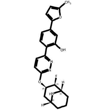 Cc1ccc(-c2ccc(-c3ccc(O[C@@H]4C[C@H]5CCC[C@H](N5)[C@@H]4F)nn3)c(O)c2)o1